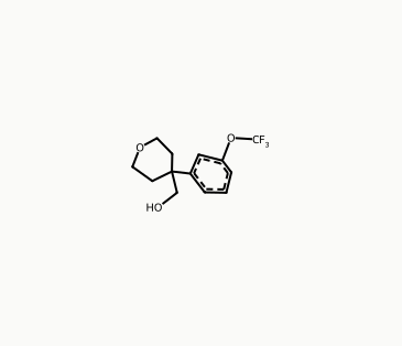 OCC1(c2cccc(OC(F)(F)F)c2)CCOCC1